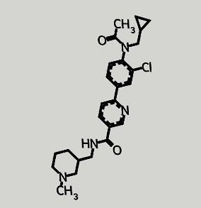 CC(=O)N(CC1CC1)c1ccc(-c2ccc(C(=O)NCC3CCCN(C)C3)cn2)cc1Cl